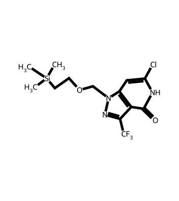 C[Si](C)(C)CCOCn1nc(C(F)(F)F)c2c(=O)[nH]c(Cl)cc21